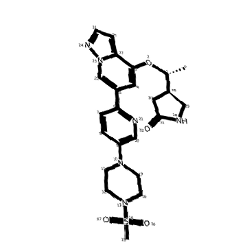 C[C@@H](Oc1cc(-c2ccc(N3CCN(S(C)(=O)=O)CC3)cn2)cn2nccc12)[C@H]1CNC(=O)C1